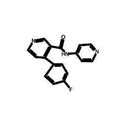 O=C(Nc1ccncc1)c1cnccc1-c1ccc(F)cc1